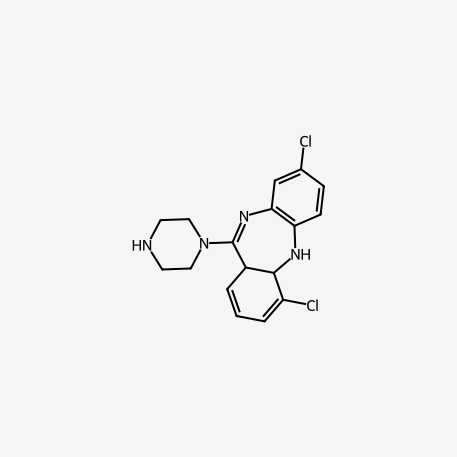 ClC1=CC=CC2C(N3CCNCC3)=Nc3cc(Cl)ccc3NC12